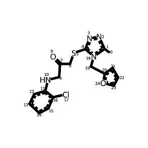 Cc1nnc(SCC(=O)CNc2ccccc2Cl)n1Cc1ccco1